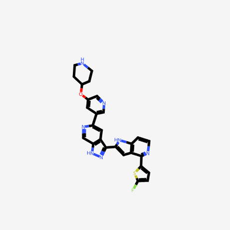 Fc1ccc(-c2nccc3[nH]c(-c4n[nH]c5cnc(-c6cncc(OC7CCNCC7)c6)cc45)cc23)s1